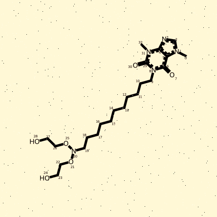 Cn1cnc2c1c(=O)n(CCCCCCCCCCCN(OCCO)OCCO)c(=O)n2C